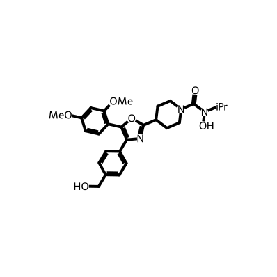 COc1ccc(-c2oc(C3CCN(C(=O)N(O)C(C)C)CC3)nc2-c2ccc(CO)cc2)c(OC)c1